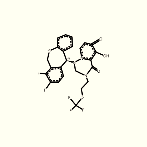 O=C1c2c(O)c(=O)ccn2N([C@@H]2c3ccccc3SCc3c2ccc(F)c3F)CN1CCSC(F)(F)F